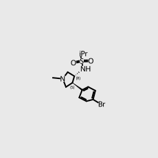 CC(C)S(=O)(=O)N[C@H]1CN(C)C[C@@H]1c1ccc(Br)cc1